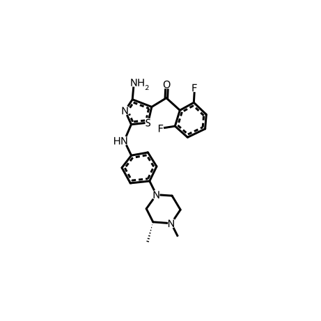 C[C@@H]1CN(c2ccc(Nc3nc(N)c(C(=O)c4c(F)cccc4F)s3)cc2)CCN1C